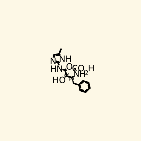 Cc1cnc(NC(=O)[C@H](O)[C@H](Cc2ccccc2)NC(=O)O)[nH]1